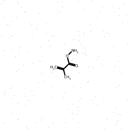 C=C(C)C(=O)ON